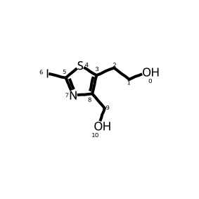 OCCc1sc(I)nc1CO